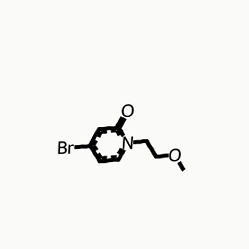 COCCn1ccc(Br)cc1=O